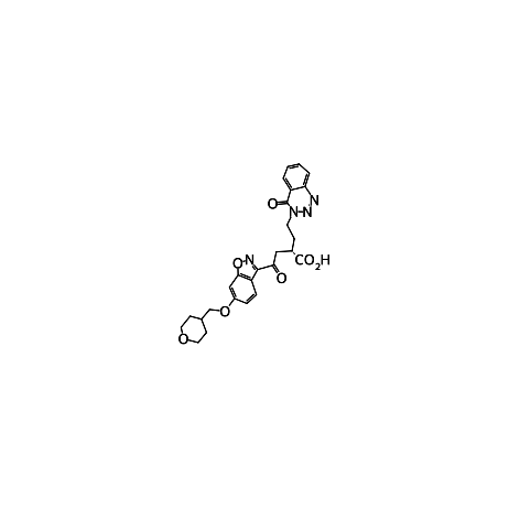 O=C(C[C@H](CCn1nnc2ccccc2c1=O)C(=O)O)c1noc2cc(OCC3CCOCC3)ccc12